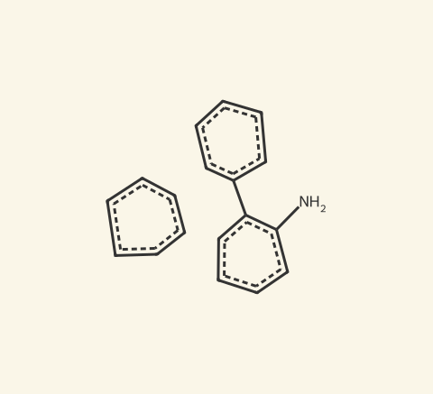 Nc1ccccc1-c1ccccc1.c1ccccc1